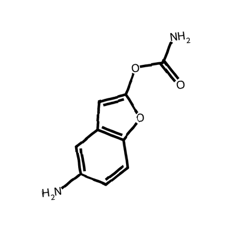 NC(=O)Oc1cc2cc(N)ccc2o1